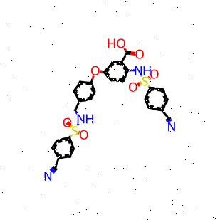 N#Cc1ccc(S(=O)(=O)NCc2ccc(Oc3ccc(NS(=O)(=O)c4ccc(C#N)cc4)c(C(=O)O)c3)cc2)cc1